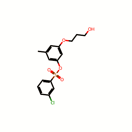 Cc1cc(OCCCO)cc(OS(=O)(=O)c2cccc(Cl)c2)c1